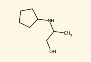 CC(CO)NC1CCCC1